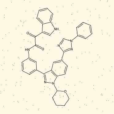 O=C(Nc1cccc(-c2nn(C3CCCCO3)c3ccc(-c4ncn(-c5ccccc5)n4)cc23)c1)C(=O)c1c[nH]c2ccccc12